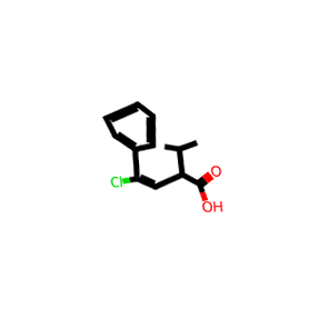 CC(C)C(/C=C(/Cl)c1ccccc1)C(=O)O